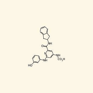 O=C(O)Nc1cc(Nc2cccc(O)c2)nc(C(=O)NC2Cc3ccccc3C2)c1